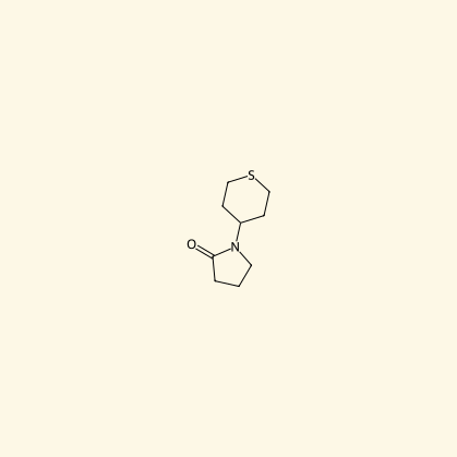 O=C1CCCN1C1CCSCC1